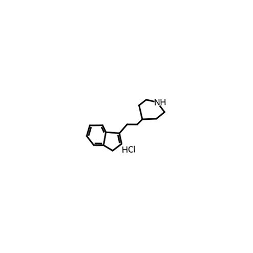 C1=C(CCC2CCNCC2)c2ccccc2C1.Cl